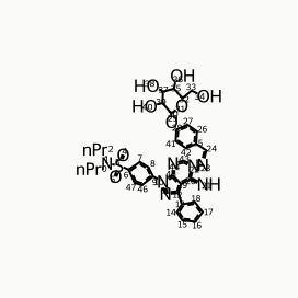 CCCN(CCC)S(=O)(=O)c1ccc(-n2nc(-c3ccccc3)c3c(=N)n(/N=C\c4ccc(OC5OC(CO)C(O)C(O)C5O)cc4)cnc32)cc1